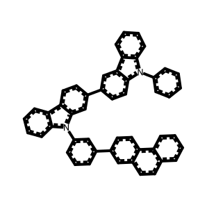 c1ccc(-n2c3ccccc3c3cc(-c4ccc5c6ccccc6n(-c6cccc(-c7ccc8c(ccc9ccccc98)c7)c6)c5c4)ccc32)cc1